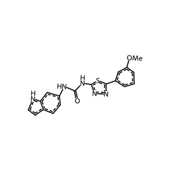 COc1cccc(-c2nnc(NC(=O)Nc3ccc4cc[nH]c4c3)s2)c1